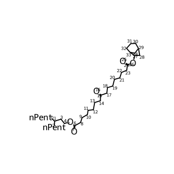 CCCCCC(CCCCC)CCOC(=O)CCCCCCCC(=O)CCCCCCCC(=O)OC1CC2CCCC1C2